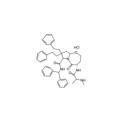 CNC(C)C(=O)N[C@H]1CCOC2CC(CCc3ccccc3)(CCc3ccccc3)C(C(=O)NC(c3ccccc3)c3ccccc3)N2C1=O.Cl